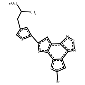 CCCCCCCCC(C)Cc1csc(-c2cc3c4nsnc4c4cc(Br)sc4c3s2)c1